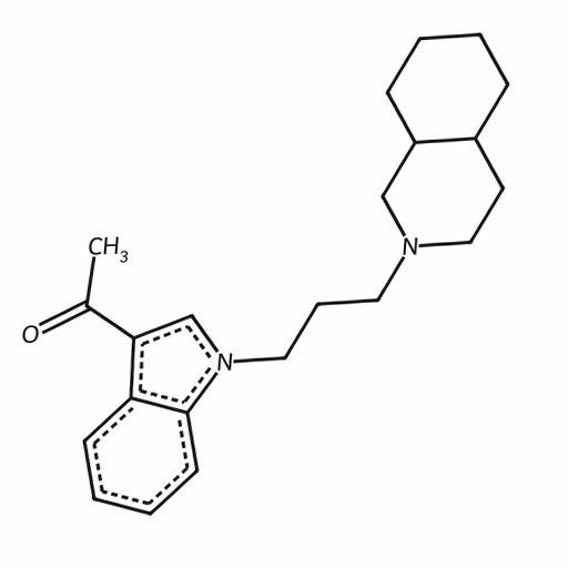 CC(=O)c1cn(CCCN2CCC3CCCCC3C2)c2ccccc12